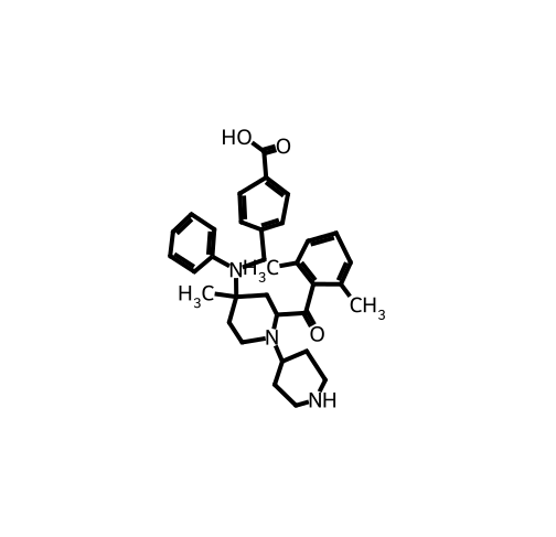 Cc1cccc(C)c1C(=O)C1CC(C)(N(Cc2ccc(C(=O)O)cc2)c2ccccc2)CCN1C1CCNCC1